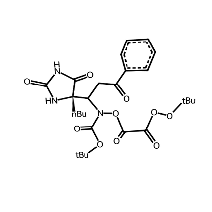 CCCC[C@@]1(C(CC(=O)c2ccccc2)N(OC(=O)C(=O)OOC(C)(C)C)C(=O)OC(C)(C)C)NC(=O)NC1=O